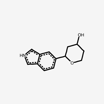 OC1CCOC(c2ccc3c[nH]cc3c2)C1